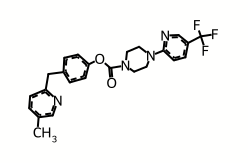 Cc1ccc(Cc2ccc(OC(=O)N3CCN(c4ccc(C(F)(F)F)cn4)CC3)cc2)nc1